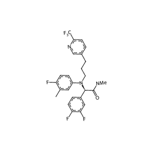 CNC(=O)[C@@H](c1ccc(F)c(F)c1)N(CCCc1ccc(C(F)(F)F)nc1)c1ccc(F)c(C)c1